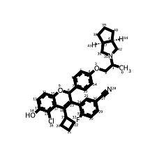 CC(COc1ccc(C2Oc3ccc(O)c(Cl)c3C(C3CCC3)=C2c2cc(C#N)ccc2F)cc1)N1C[C@H]2CCC[C@H]2C1